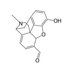 CN1CCC23C4=CC=C(C=O)C2Oc2c(O)ccc(c23)CC41